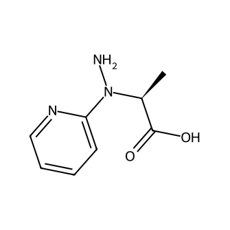 C[C@@H](C(=O)O)N(N)c1ccccn1